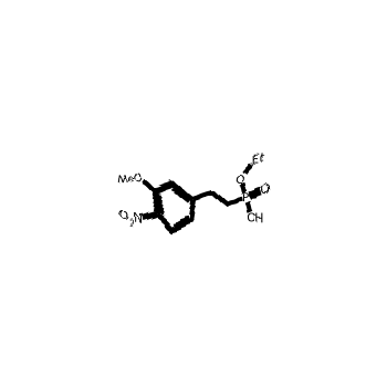 CCOP(=O)(O)CCc1ccc([N+](=O)[O-])c(OC)c1